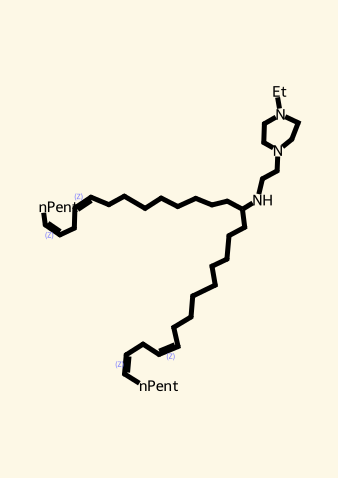 CCCCC/C=C\C/C=C\CCCCCCCCC(CCCCCCCC/C=C\C/C=C\CCCCC)NCCN1CCN(CC)CC1